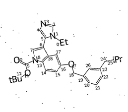 CCn1cncc1-c1cn(C(=O)OC(C)(C)C)c2ccc(OCc3cccc(CC(C)C)c3)cc12